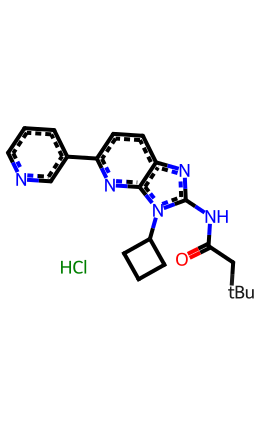 CC(C)(C)CC(=O)Nc1nc2ccc(-c3cccnc3)nc2n1C1CCC1.Cl